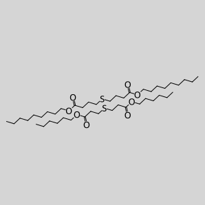 CCCCCCCCCOC(=O)CCCSCCCC(=O)OCCCCCCCCC.CCCCCCOC(=O)CCSCCC(=O)OCCCCCC